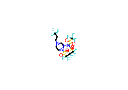 O=S(=O)(NS(=O)(=O)C(F)(F)C(F)(F)C(F)(F)S(=O)(=O)N1CCN(CCC(F)(F)F)CC1)C(F)(F)F